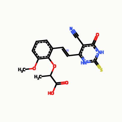 COc1cccc(/C=C/c2[nH]c(=S)[nH]c(=O)c2C#N)c1OC(C)C(=O)O